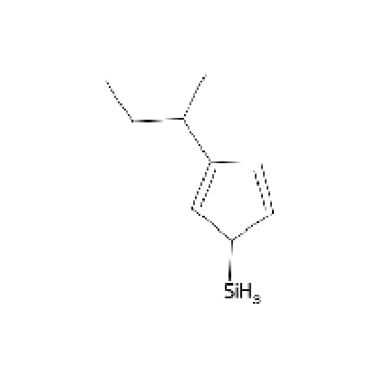 CCC(C)C1=CC([SiH3])C=C1